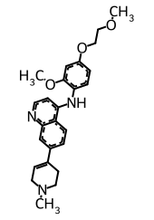 COCCOc1ccc(Nc2ccnc3cc(C4=CCN(C)CC4)ccc23)c(OC)c1